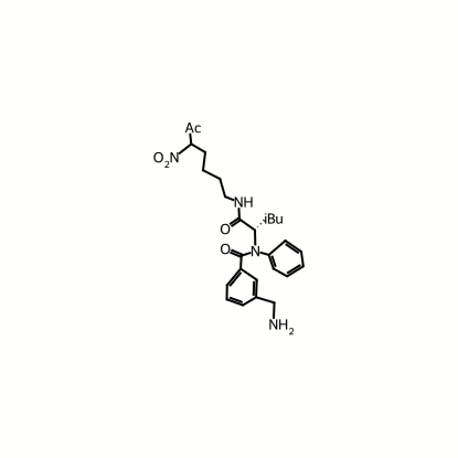 CCC(C)[C@@H](C(=O)NCCCCC(C(C)=O)[N+](=O)[O-])N(C(=O)c1cccc(CN)c1)c1ccccc1